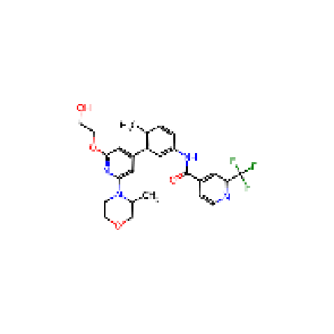 Cc1ccc(NC(=O)c2ccnc(C(F)(F)F)c2)cc1-c1cc(OCCO)nc(N2CCOCC2C)c1